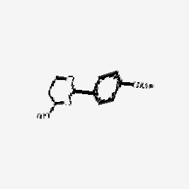 CCCC1CCOC(c2ccc(OC)cc2)O1